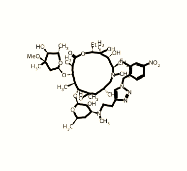 CC[C@H]1OC(=O)[C@H](C)[C@@H](O[C@H]2C[C@@](C)(OC)[C@@H](O)[C@H](C)O2)[C@H](C)[C@@H](O[C@@H]2O[C@H](C)C[C@H](N(C)CCc3cn(Cc4ccc([N+](=O)[O-])cc4F)nn3)[C@H]2O)[C@](C)(O)C[C@@H](C)CN(C)[C@H](C)[C@@H](O)[C@]1(C)O